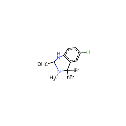 CCCC1(C(C)C)c2cc(Cl)ccc2NC(C=O)N1C